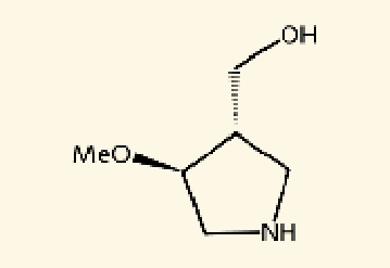 CO[C@@H]1CNC[C@H]1CO